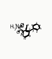 Cc1c(-c2ccccc2)ccnc1S(N)(=O)=O